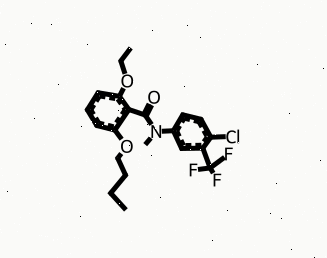 CCCCOc1cccc(OCC)c1C(=O)N(C)c1ccc(Cl)c(C(F)(F)F)c1